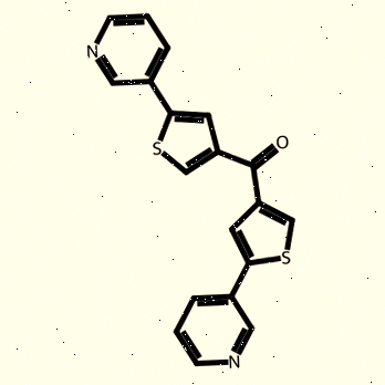 O=C(c1csc(-c2cccnc2)c1)c1csc(-c2cccnc2)c1